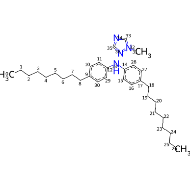 CCCCCCCCCc1ccc(Nc2ccc(CCCCCCCCC)cc2)cc1.Cn1cncn1